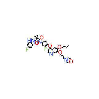 CCCCOc1cc2c(Oc3ccc(NC(=O)C4(C(=O)Nc5ccc(F)cc5)CC4)cc3F)ccnc2cc1OCCCN1CCOCC1